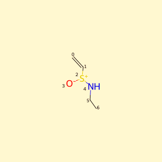 C=C[S+]([O-])NCC